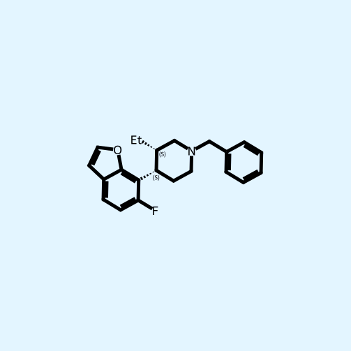 CC[C@@H]1CN(Cc2ccccc2)CC[C@@H]1c1c(F)ccc2ccoc12